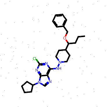 CCCC(OCc1ccccc1)C1CCN(Nc2nc(Cl)nc3c2ncn3C2CCCC2)CC1